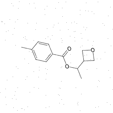 Cc1ccc(C(=O)OC(C)C2COC2)cc1